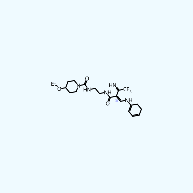 CCOC1CCN(C(=O)NCCNC(=O)/C(=C/NC2=CC=CCC2)C(=N)C(F)(F)F)CC1